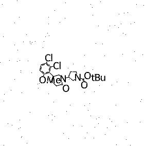 COc1ccc(Cl)c(Cl)c1C1CCC(=O)N(C2CCN(C(=O)OC(C)(C)C)C2)C1